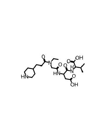 CCN(CC(=O)NC(CC(=O)O)C(=O)NC(C(=O)O)C(C)C)C(=O)CCC1CCNCC1